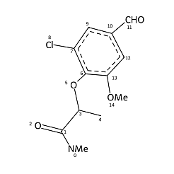 CNC(=O)C(C)Oc1c(Cl)cc(C=O)cc1OC